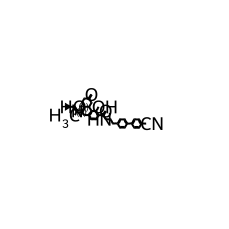 CN(CC1CC1)[C@@H]1Cc2ccc(C(=O)NCCc3ccc(-c4ccc(C#N)cc4)cc3)c(O)c2C2CC(=O)CC[C@]21O